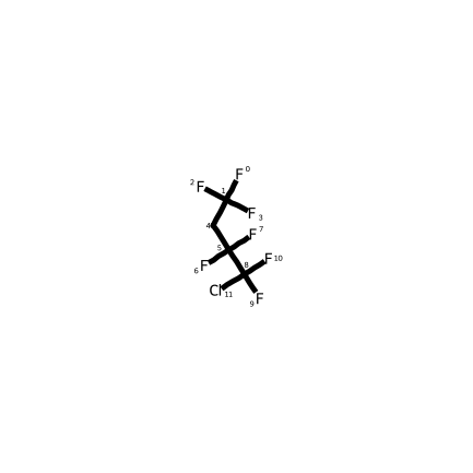 FC(F)(F)CC(F)(F)C(F)(F)Cl